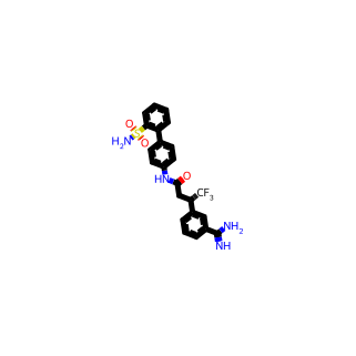 N=C(N)c1cccc(C(CC(=O)Nc2ccc(-c3ccccc3S(N)(=O)=O)cc2)C(F)(F)F)c1